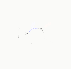 CC1CCC2(CC2)NC1=O